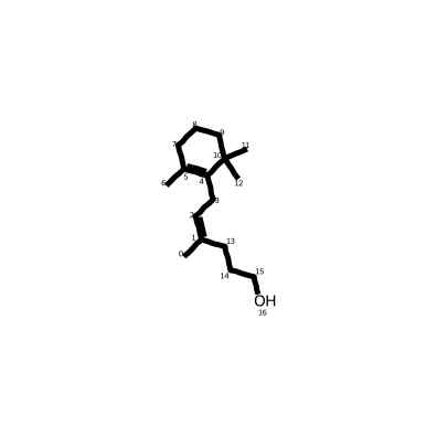 CC(=CCC1=C(C)CCCC1(C)C)CCCO